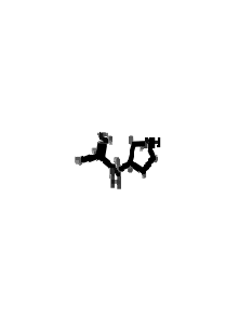 CC(=S)NC1CCNC1